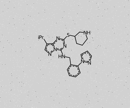 CC(C)c1cnn2c(NCc3ccccc3-n3cccn3)nc(SC3CCCNC3)nc12